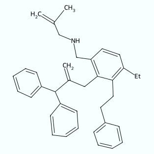 C=C(C)CNCc1ccc(CC)c(CCc2ccccc2)c1CC(=C)C(c1ccccc1)c1ccccc1